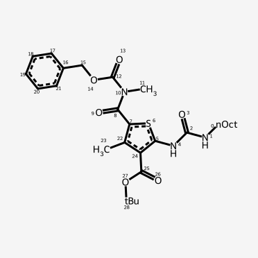 CCCCCCCCNC(=O)Nc1sc(C(=O)N(C)C(=O)OCc2ccccc2)c(C)c1C(=O)OC(C)(C)C